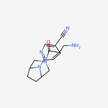 N#Cc1ccc(N2C3CCC2CN(C(=O)CCN)C3)nc1